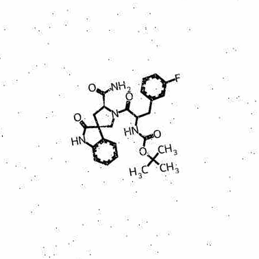 CC(C)(C)OC(=O)NC(Cc1cccc(F)c1)C(=O)N1C[C@]2(C[C@H]1C(N)=O)C(=O)Nc1ccccc12